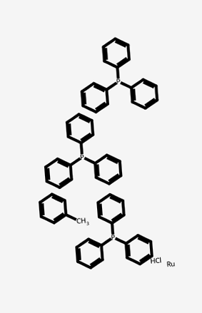 Cc1ccccc1.Cl.[Ru].c1ccc(P(c2ccccc2)c2ccccc2)cc1.c1ccc(P(c2ccccc2)c2ccccc2)cc1.c1ccc(P(c2ccccc2)c2ccccc2)cc1